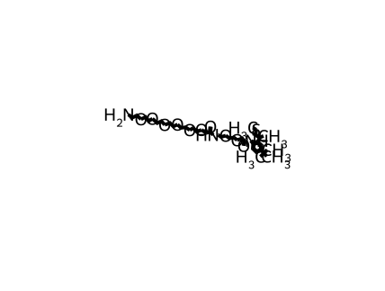 CSSC(C)c1cc(C(C)(C)C)ccc1NC(=O)COCCOCCNC(=O)COCCOCCOCCOCCOCCOCCN